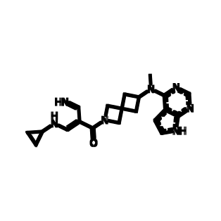 CN(c1ncnc2[nH]ccc12)C1CC2(C1)CN(C(=O)/C(C=N)=C/NC1CC1)C2